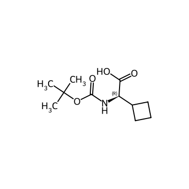 CC(C)(C)OC(=O)N[C@@H](C(=O)O)C1CCC1